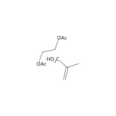 C=C(C)C(=O)O.CC(=O)OCCOC(C)=O